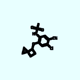 CS(=O)(=O)Nc1cc(C#N)c(Cl)cc1OC1CCC12CC2